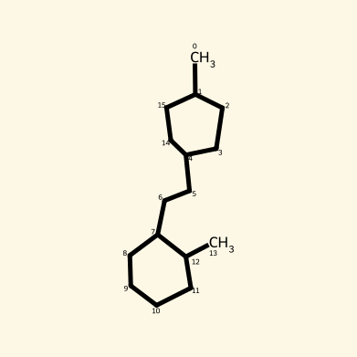 CC1CCC(CCC2CCCCC2C)CC1